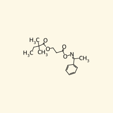 CCC(C)(C)C(=O)OCCC(=O)O/N=C(/C)c1ccccc1